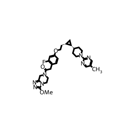 COc1nnc2n1CCN(C(=O)Cc1ccc(OCC[C@@H]3C[C@@H]3C3CCN(c4ncc(C)cn4)CC3)cc1F)C2